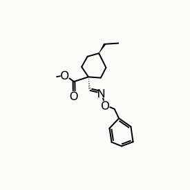 CC[C@H]1CC[C@@](C=NOCc2ccccc2)(C(=O)OC)CC1